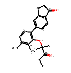 COc1ccc(-c2ccc3c(c2)CCC3=O)c(OC(C)(C)C(=O)CC(C)C)c1OC